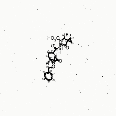 CC(C)(C)C(NC(=O)O)C1(C(=O)NNC(=O)C2CC[C@@H]3CN2C(=O)N3OCc2ccccc2)CC1